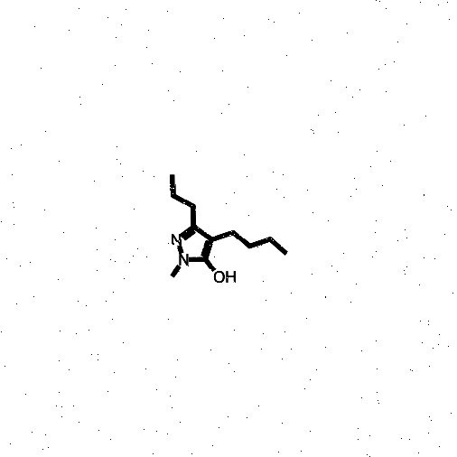 CCCCc1c(CCC)nn(C)c1O